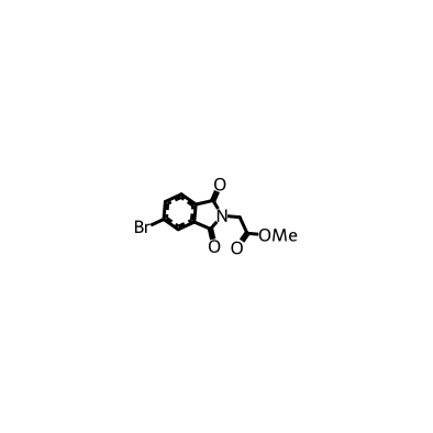 COC(=O)CN1C(=O)c2ccc(Br)cc2C1=O